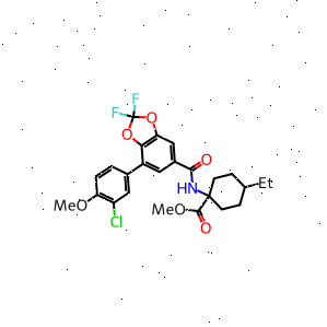 CCC1CCC(NC(=O)c2cc3c(c(-c4ccc(OC)c(Cl)c4)c2)OC(F)(F)O3)(C(=O)OC)CC1